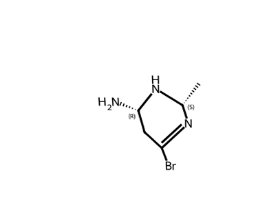 C[C@@H]1N=C(Br)C[C@H](N)N1